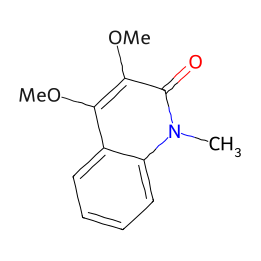 COc1c(OC)c2ccccc2n(C)c1=O